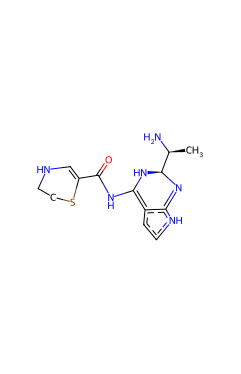 C[C@H](N)[C@H]1N=c2[nH]ccc2=C(NC(=O)C2=CNCCS2)N1